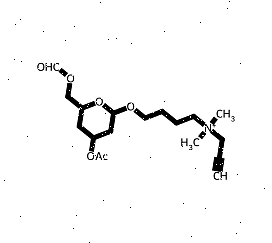 C#CC[N+](C)(C)CCCCOC1CC(OC(C)=O)CC(COC=O)O1